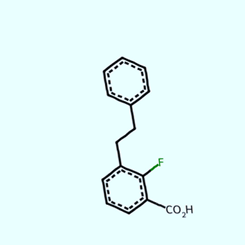 O=C(O)c1cccc(CCc2ccccc2)c1F